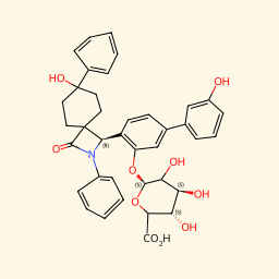 O=C(O)C1O[C@@H](Oc2cc(-c3cccc(O)c3)ccc2[C@H]2N(c3ccccc3)C(=O)C23CCC(O)(c2ccccc2)CC3)C(O)[C@@H](O)[C@@H]1O